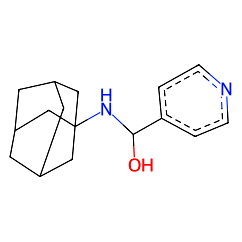 OC(NC12CC3CC(CC(C3)C1)C2)c1ccncc1